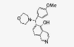 COc1ccc(C(c2ccc3cnccc3c2O)N2CCOCC2)cc1